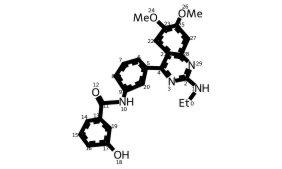 CCNc1nc(-c2cccc(NC(=O)c3cccc(O)c3)c2)c2cc(OC)c(OC)cc2n1